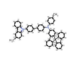 Cc1ccc(N(c2ccc(-c3ccc(-n4c5ccccc5c5cc(C)ccc54)cc3)cc2)c2ccc3c(c2)-c2ccccc2C32c3ccccc3-c3ccccc32)cc1